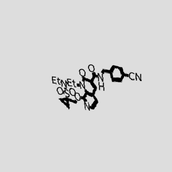 CCN(CC)S(=O)(=O)C1(COc2nccc3cc(C(=O)NCc4ccc(C#N)cc4)c(=O)n(C)c23)CC1